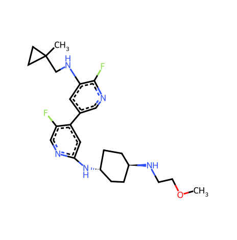 COCCN[C@H]1CC[C@H](Nc2cc(-c3cnc(F)c(NCC4(C)CC4)c3)c(F)cn2)CC1